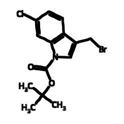 CC(C)(C)OC(=O)n1cc(CBr)c2ccc(Cl)cc21